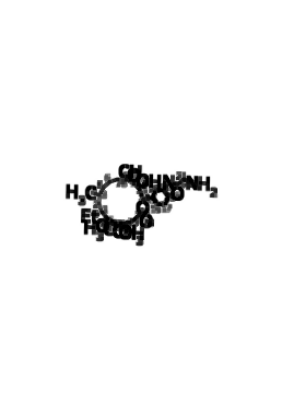 CC[C@@H]1C[C@@H](C)CCC[C@@]2(C)O[C@@]2(O)C[C@@H](c2ccc3oc(CN)nc3c2)OC(=O)C[C@H](O)C(C)(C)C1=O